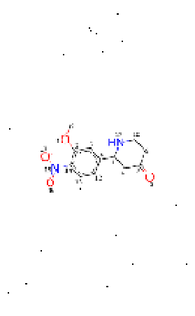 COc1cc(C2CC(=O)CCN2)ccc1[N+](=O)[O-]